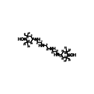 CC1(C)CC(NCCNCCNCCNC2CC(C)(C)N(O)C(C)(C)C2)CC(C)(C)N1O